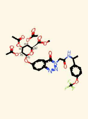 COC(=O)[C@H]1O[C@@H](Oc2ccc3nnn(CC(=O)NC(C)c4ccc(OC(F)(F)F)cc4)c(=O)c3c2)[C@H](OC(C)=O)[C@@H](OC(C)=O)[C@@H]1OC(C)=O